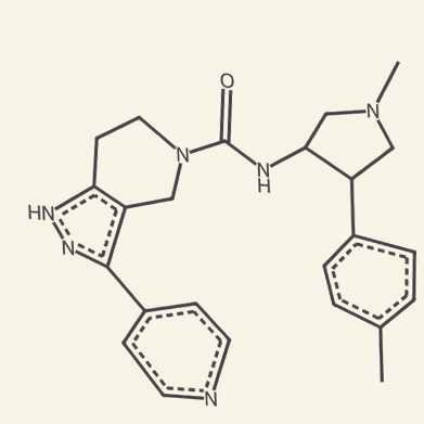 Cc1ccc(C2CN(C)CC2NC(=O)N2CCc3[nH]nc(-c4ccncc4)c3C2)cc1